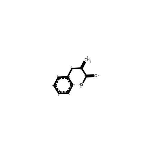 C=C(Cc1ccccc1)C(=O)S